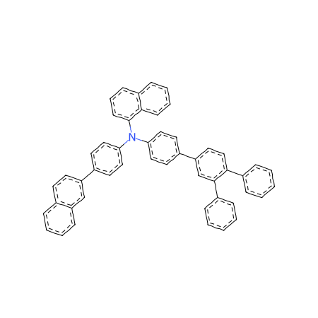 c1ccc(-c2ccc(-c3ccc(N(c4ccc(-c5ccc6ccccc6c5)cc4)c4cccc5ccccc45)cc3)cc2-c2ccccc2)cc1